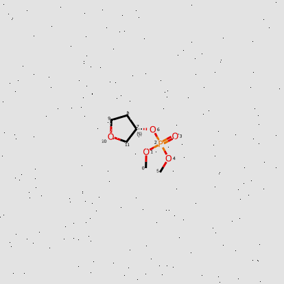 COP(=O)(OC)O[C@H]1CCOC1